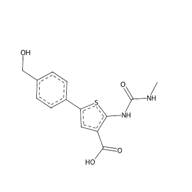 CNC(=O)Nc1sc(-c2ccc(CO)cc2)cc1C(=O)O